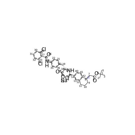 CC(C)(C)OC(=O)/C=C1\CCCc2cc(C(=O)N[C@@H](Cc3ccc(NC(=O)c4c(Cl)cccc4Cl)cc3)C(=O)[O-])ccc21.[Na+]